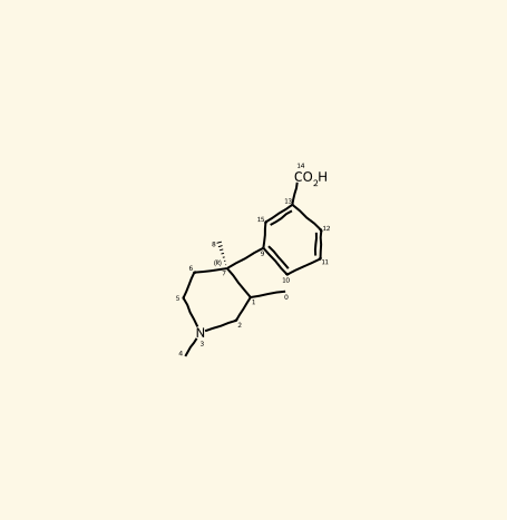 CC1CN(C)CC[C@@]1(C)c1cccc(C(=O)O)c1